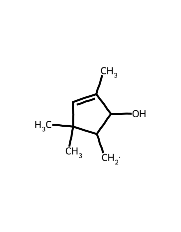 [CH2]C1C(O)C(C)=CC1(C)C